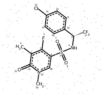 Cc1c(F)c(S(=O)(=O)N[C@H](c2ccc(Cl)cc2)C(F)(F)F)cn(C)c1=O